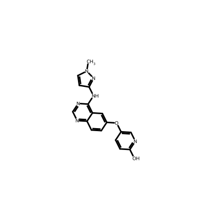 Cn1ccc(Nc2ncnc3ccc(Oc4ccc(O)nc4)cc23)n1